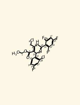 CCOC(=O)C1=C(CCl)NC(c2c(F)cc(F)cc2F)=NC1c1ccc(F)cc1Cl